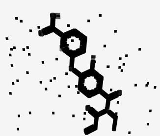 C=CC(=O)N(CC)C(=O)c1ccc(Oc2cccc(C(=O)O)n2)c(F)c1